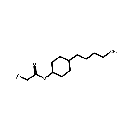 CCCCCC1CCC(OC(=O)CC)CC1